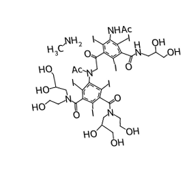 CC(=O)Nc1c(I)c(C(=O)CN(C(C)=O)c2c(I)c(C(=O)N(CCO)CC(O)CO)c(I)c(C(=O)N(CCO)CC(O)CO)c2I)c(I)c(C(=O)NCC(O)CO)c1I.CN